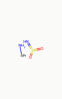 CCCN.N=S(=O)=O